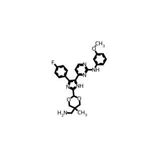 COc1cccc(Nc2nccc(-c3[nH]c(C4OCC(C)(CN)CO4)nc3-c3ccc(F)cc3)n2)c1